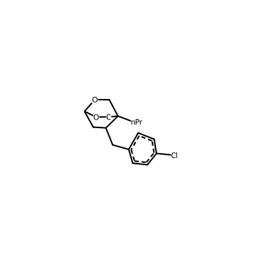 CCCC12COC(CC1Cc1ccc(Cl)cc1)OC2